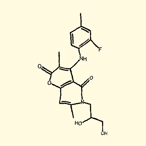 Cc1ccc(Nc2c(C)c(=O)oc3cc(C)n(CC(O)CO)c(=O)c23)c(F)c1